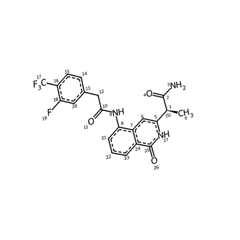 C[C@H](C(N)=O)c1cc2c(NC(=O)Cc3ccc(C(F)(F)F)c(F)c3)cccc2c(=O)[nH]1